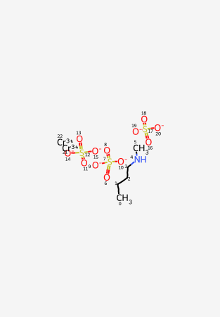 CCCCNC.O=S(=O)([O-])[O-].O=S(=O)([O-])[O-].O=S(=O)([O-])[O-].[Cr+3].[Cr+3]